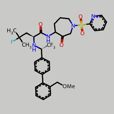 COCc1ccccc1-c1ccc([C@H](N[C@@H](CC(C)(C)F)C(=O)NC2CCCN(S(=O)(=O)c3ccccn3)CC2=O)C(F)(F)F)cc1